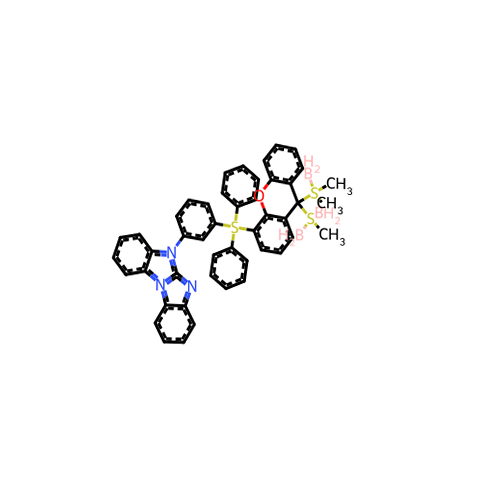 BS(B)(C)C1(S(B)(C)C)c2ccccc2Oc2c1cccc2S(c1ccccc1)(c1ccccc1)c1cccc(-n2c3ccccc3n3c4ccccc4nc23)c1